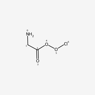 NCC(=O)OOCl